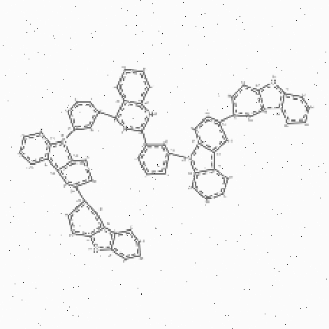 c1cc(-c2nc(-c3cccc(-n4c5ccccc5c5cc(-c6ccc7oc8ccccc8c7c6)ccc54)c3)c3ccccc3n2)cc(-n2c3ccccc3c3cc(-c4ccc5oc6ccccc6c5c4)ccc32)c1